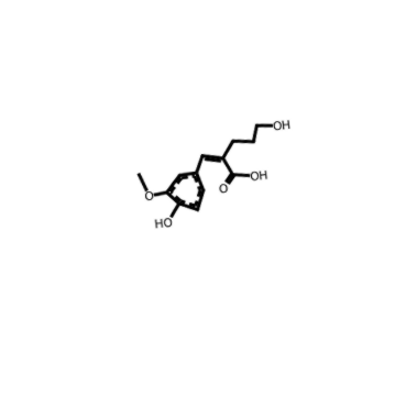 COc1cc(C=C(CCCO)C(=O)O)ccc1O